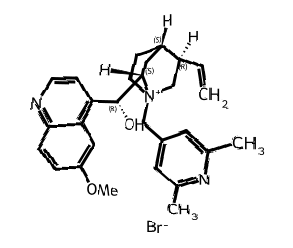 C=C[C@H]1C[N+]2(Cc3cc(C)nc(C)c3)CC[C@H]1C[C@H]2[C@H](O)c1ccnc2ccc(OC)cc12.[Br-]